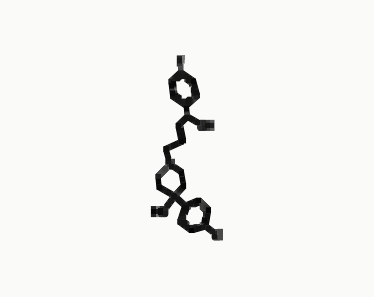 OC(/C=C/CN1CCC(O)(c2ccc(Cl)cc2)CC1)c1ccc(F)cc1